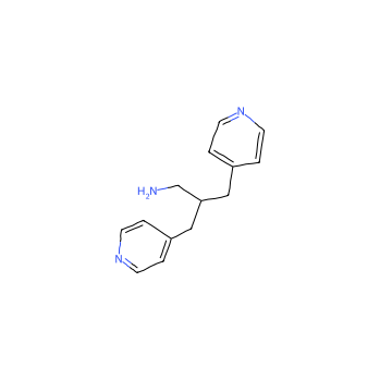 NCC(Cc1ccncc1)Cc1ccncc1